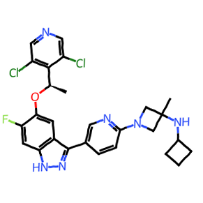 C[C@@H](Oc1cc2c(-c3ccc(N4CC(C)(NC5CCC5)C4)nc3)n[nH]c2cc1F)c1c(Cl)cncc1Cl